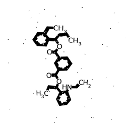 C=CNc1ccccc1/C(=C\C)OC(=O)c1cccc(C(=O)OC(/C=C\C)=c2\cccc\c2=C\C)c1